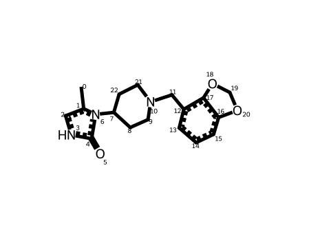 Cc1c[nH]c(=O)n1C1CCN(Cc2cccc3c2OCO3)CC1